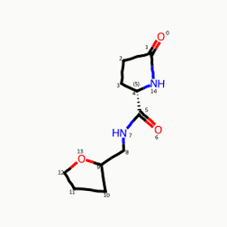 O=C1CC[C@@H](C(=O)NCC2CCCO2)N1